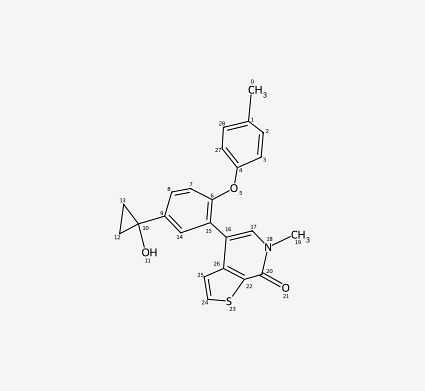 Cc1ccc(Oc2ccc(C3(O)CC3)cc2-c2cn(C)c(=O)c3sccc23)cc1